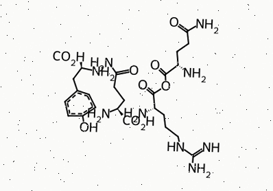 N=C(N)NCCC[C@H](N)C(=O)OC(=O)[C@@H](N)CCC(N)=O.NC(=O)CC[C@H](N)C(=O)O.N[C@@H](Cc1ccc(O)cc1)C(=O)O